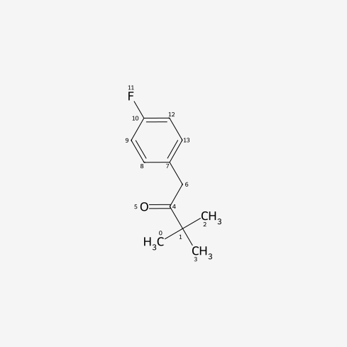 CC(C)(C)C(=O)Cc1ccc(F)cc1